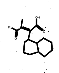 CC(C(=O)O)=C(C(=O)O)C1CCCC2CCCCC21